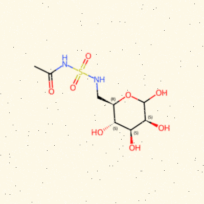 CC(=O)NS(=O)(=O)NC[C@H]1OC(O)[C@@H](O)[C@@H](O)[C@@H]1O